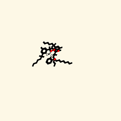 CCCCCCCCCc1ccccc1OP(Oc1c(C(C)(C)CCCCC)cc(C)cc1C(C)(C)CCCCC)Oc1c(C(C)(C)CCCCC)cc(C)cc1C(C)(C)CCCCC